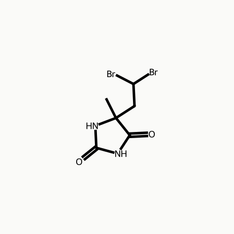 CC1(CC(Br)Br)NC(=O)NC1=O